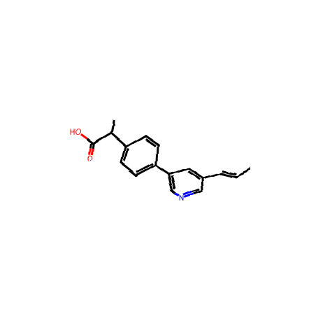 C/C=C/c1cncc(-c2ccc(C(C)C(=O)O)cc2)c1